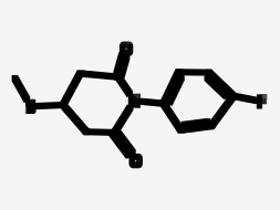 CSC1CC(=O)N(c2ccc(F)cc2)C(=O)C1